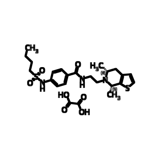 CCCCS(=O)(=O)Nc1ccc(C(=O)NCCN2[C@H](C)Cc3ccsc3[C@@H]2C)cc1.O=C(O)C(=O)O